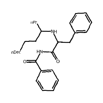 CCCCCCCCCCCCC(CCC)NC(Cc1ccccc1)C(=O)NC(=O)c1ccccc1